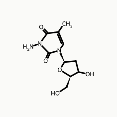 Cc1cn([C@H]2CC(O)[C@@H](CO)O2)c(=O)n(N)c1=O